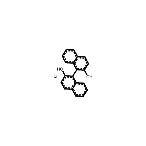 Oc1ccc2ccccc2c1-c1c(O)ccc2ccccc12.[C]